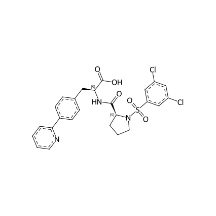 O=C(O)[C@H](Cc1ccc(-c2ccccn2)cc1)NC(=O)[C@@H]1CCCN1S(=O)(=O)c1cc(Cl)cc(Cl)c1